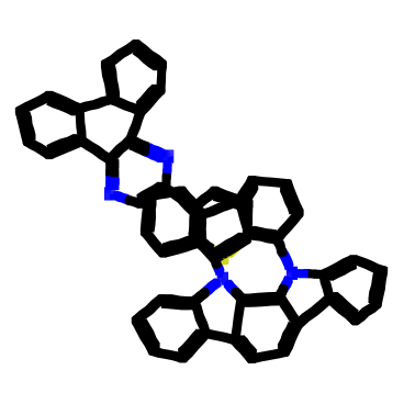 c1cc(-c2cnc3c4ccccc4c4ccccc4c3n2)cc(-n2c3ccccc3c3ccc4c5ccccc5n(-c5cccc6c5sc5ccccc56)c4c32)c1